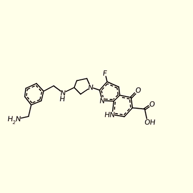 NCc1cccc(CNC2CCN(c3nc4[nH]cc(C(=O)O)c(=O)c4cc3F)C2)c1